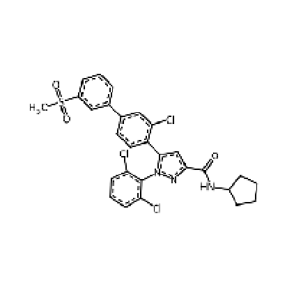 CS(=O)(=O)c1cccc(-c2ccc(-c3cc(C(=O)NC4CCCC4)nn3-c3c(Cl)cccc3Cl)c(Cl)c2)c1